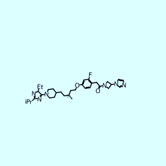 CCC1N=C(C(C)C)N=C1N1CCC(CC[C@H](C)CCOc2ccc(CC(=O)N3CC(n4ccnc4)C3)c(F)c2)CC1